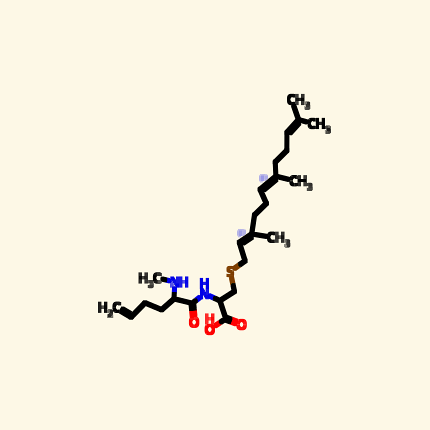 C=CCCC(NC)C(=O)NC(CSC/C=C(\C)CC/C=C(\C)CCC=C(C)C)C(=O)O